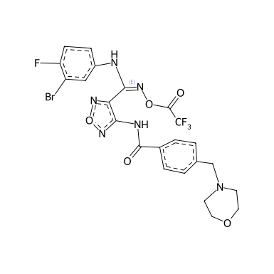 O=C(Nc1nonc1/C(=N\OC(=O)C(F)(F)F)Nc1ccc(F)c(Br)c1)c1ccc(CN2CCOCC2)cc1